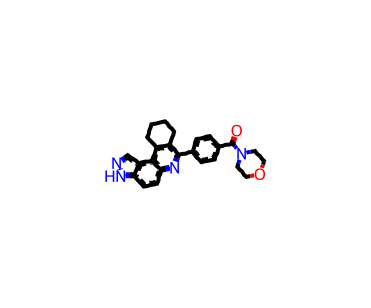 O=C(c1ccc(-c2nc3ccc4[nH]ncc4c3c3c2CCCC3)cc1)N1CCOCC1